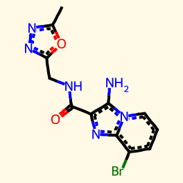 Cc1nnc(CNC(=O)c2nc3c(Br)cccn3c2N)o1